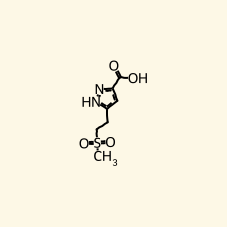 CS(=O)(=O)CCc1cc(C(=O)O)n[nH]1